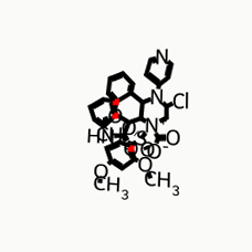 CCOc1ccccc1C1C(C2C(=O)Nc3ccccc32)[N+](C(=O)[O-])(S(=O)(=O)c2ccc(OC)cc2OC)CC(Cl)N1c1ccncc1